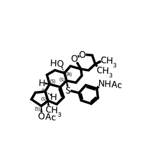 CC(=O)Nc1cccc(S[C@]23CCC4(CC(C)(C)COO4)C[C@]2(O)CC[C@@H]2C3=CC[C@]3(C)[C@@H](OC(C)=O)CC[C@@H]23)c1